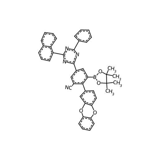 CC1(C)OB(c2cc(-c3nc(-c4ccccc4)nc(-c4cccc5ccccc45)n3)cc(C#N)c2-c2ccc3c(c2)Oc2ccccc2O3)OC1(C)C